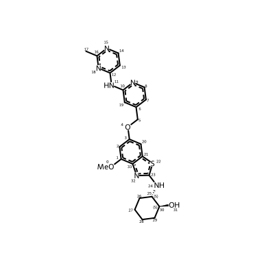 COc1cc(OCc2ccnc(Nc3ccnc(C)n3)c2)cc2sc(N[C@H]3CCCC[C@@H]3O)nc12